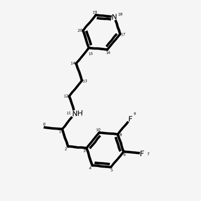 CC(Cc1ccc(F)c(F)c1)NCCCc1ccncc1